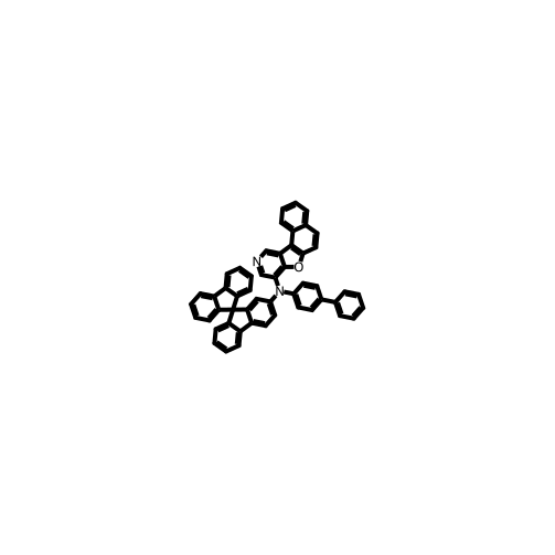 c1ccc(-c2ccc(N(c3ccc4c(c3)C3(c5ccccc5-c5ccccc53)c3ccccc3-4)c3cncc4c3oc3ccc5ccccc5c34)cc2)cc1